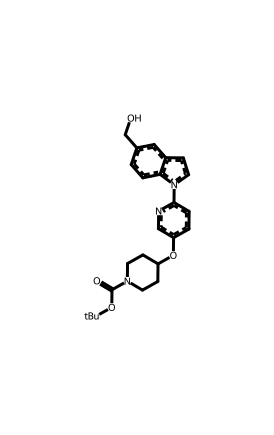 CC(C)(C)OC(=O)N1CCC(Oc2ccc(-n3ccc4cc(CO)ccc43)nc2)CC1